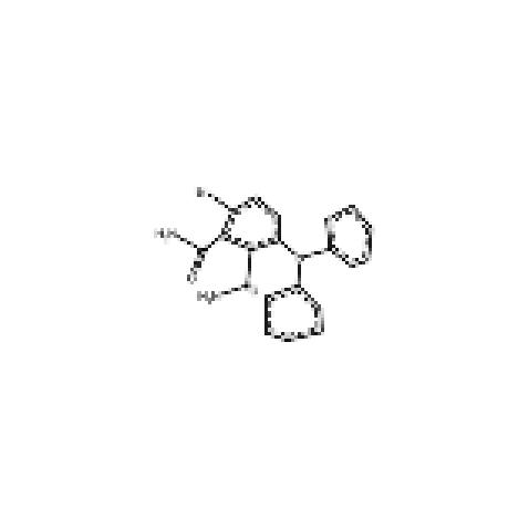 NC(=O)c1c(Br)ccc(N(c2ccccc2)c2ccccc2)c1C(N)=O